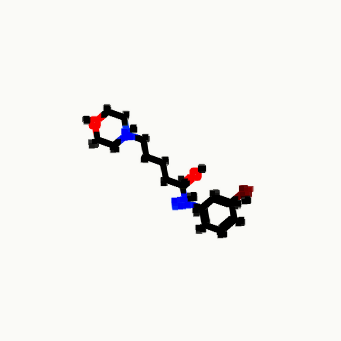 O=C(CCCCN1CCOCC1)Nc1cccc(Br)c1